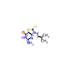 CC(C)=CCn1c(=S)sc2c(=O)[nH]c(N)nc21